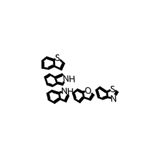 c1ccc2[nH]ccc2c1.c1ccc2c[nH]cc2c1.c1ccc2occc2c1.c1ccc2sccc2c1.c1ccc2scnc2c1